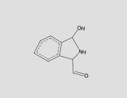 O=CC1NC(O)c2ccccc21